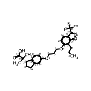 CCCc1c(OCCCOc2ccc3c(c2)CC[C@@H]3C(C)(C)C(=O)O)ccc2c(C(F)(F)F)noc12